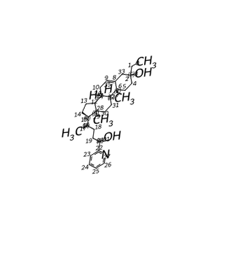 CC[C@]1(O)CC[C@@]2(C)C(=CC[C@H]3C4CC[C@H]([C@H](C)CC[C@@H](O)c5ccccn5)[C@@]4(C)CC[C@@H]32)C1